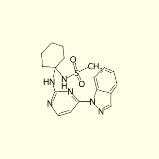 CS(=O)(=O)NC1(Nc2nccc(-n3ncc4ccccc43)n2)CCCCC1